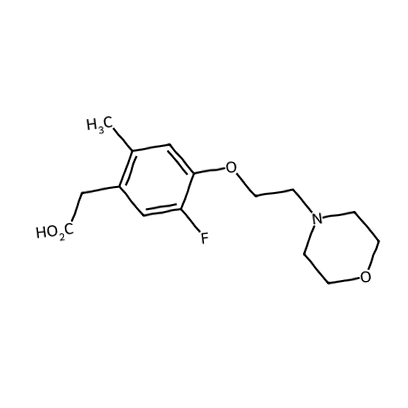 Cc1cc(OCCN2CCOCC2)c(F)cc1CC(=O)O